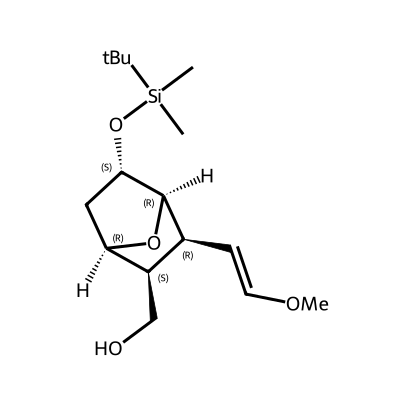 COC=C[C@H]1[C@@H](CO)[C@H]2C[C@H](O[Si](C)(C)C(C)(C)C)[C@@H]1O2